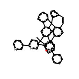 CC1(C)c2ccccc2-c2cc3c(cc21)-c1ccccc1C31c2ccccc2C=Cc2ccc(-c3cc(-c4ccc(-c5cccnc5)nc4)nc(-c4ccccc4)n3)cc21